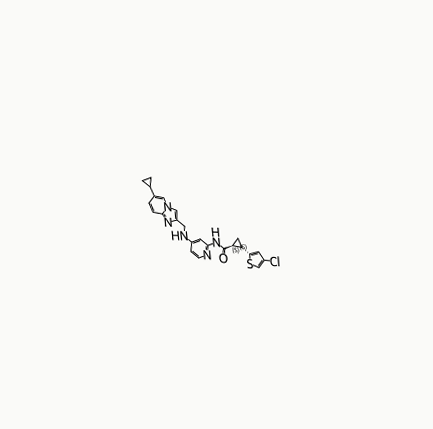 O=C(Nc1cc(NCc2cn3cc(C4CC4)ccc3n2)ccn1)[C@H]1C[C@@H]1c1cc(Cl)cs1